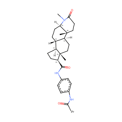 CC(C)C(=O)Nc1ccc(NC(=O)[C@H]2CC[C@H]3[C@@H]4CC[C@H]5N(C)C(=O)CC[C@]5(C)[C@H]4CC[C@]23C)cc1